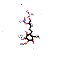 COC1=C(OC)C(=O)C(CCCC(CO[N+](=O)[O-])O[N+](=O)[O-])=C(C)C1=O